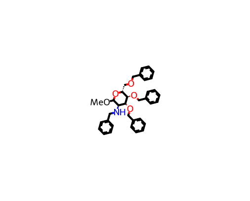 COC1O[C@H](COCc2ccccc2)[C@H](OCc2ccccc2)[C@H](OCc2ccccc2)[C@H]1NCc1ccccc1